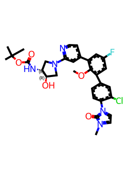 COc1c(-c2ccnc(N3C[C@@H](O)[C@H](NC(=O)OC(C)(C)C)C3)c2)cc(F)cc1-c1ccc(-n2ccn(C)c2=O)c(Cl)c1